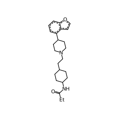 CCC(=O)NC1CCC(CCN2CCC(c3cccc4occc34)CC2)CC1